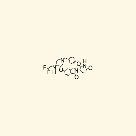 O=C1CCC(N2Cc3cc(OC4CN(Cc5ccccc5)CCC4NCC(F)F)ccc3C2=O)C(=O)N1